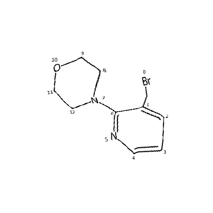 Brc1cccnc1N1CCOCC1